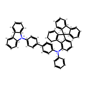 C1=C=C(N(c2ccccc2)c2cccc3c2C2=C(C=CCC2)C32c3ccccc3-c3ccccc32)C=CC=1c1ccc(-n2c3ccccc3c3ccccc32)cc1